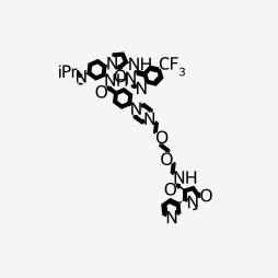 CC(C)N(C)[C@@H]1CC[C@H](N2CC[C@H](Nc3ncnc4ccc(C(F)(F)F)cc34)C2=O)[C@H](NC(=O)C2CCC(N3CCN(CCOCCOCCNC(=O)[C@H]4CC(=O)N(C)[C@@H]4c4cccnc4)CC3)CC2)C1